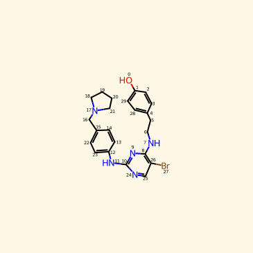 Oc1ccc(CCNc2nc(Nc3ccc(CN4CCCC4)cc3)ncc2Br)cc1